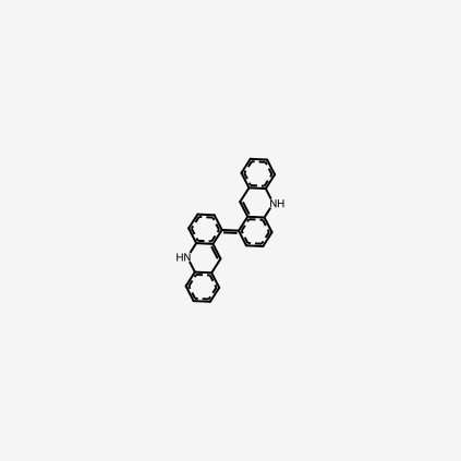 C1=c2c(cccc2=c2cccc3c2=Cc2ccccc2N3)Nc2ccccc21